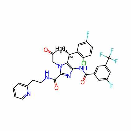 CC(=O)Cn1c(C(=O)NCCc2ccccn2)nc(NC(=O)c2cc(F)cc(C(F)(F)F)c2)c1[C@@H](C)c1cc(F)ccc1Cl